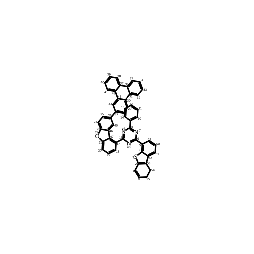 C1=Cc2sc3c(-c4nc(-c5ccccc5)nc(-c5cccc6oc7ccc(-c8ccc9c%10ccccc%10c%10ccccc%10c9c8)cc7c56)n4)cccc3c2CC1